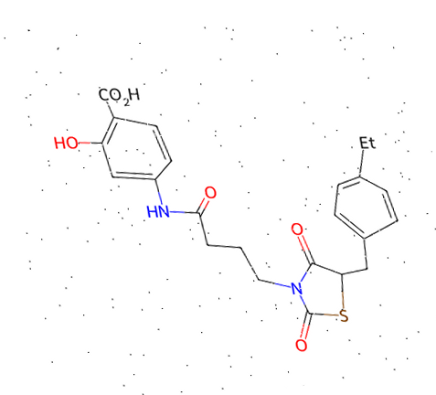 CCc1ccc(CC2SC(=O)N(CCCC(=O)Nc3ccc(C(=O)O)c(O)c3)C2=O)cc1